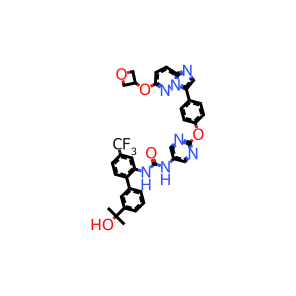 CC(C)(O)c1cccc(-c2ccc(C(F)(F)F)cc2NC(=O)Nc2cnc(Oc3ccc(-c4cnc5ccc(OC6COC6)nn45)cc3)nc2)c1